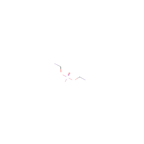 [O]P(=O)(OCI)OCI